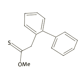 COC(=S)Cc1ccccc1-c1ccccc1